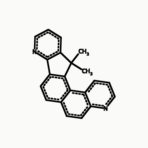 CC1(C)c2cccnc2-c2ccc3ccc4ncccc4c3c21